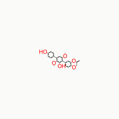 C=C1COc2ccc(-c3c(OC)cc(-c4ccc(O)cc4)c(OC)c3O)cc2O1